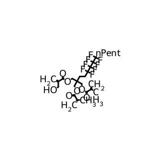 C=C(C)C(=O)OCC(CCC(F)(F)C(F)(F)C(F)(F)C(F)(F)CCCCC)(COC(=O)C(=C)C)COC(=O)C(=C)CO